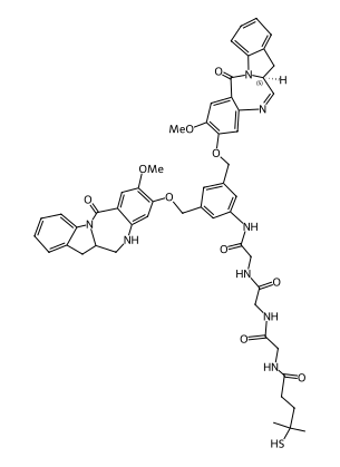 COc1cc2c(cc1OCc1cc(COc3cc4c(cc3OC)C(=O)N3c5ccccc5CC3CN4)cc(NC(=O)CNC(=O)CNC(=O)CNC(=O)CCC(C)(C)S)c1)N=C[C@@H]1Cc3ccccc3N1C2=O